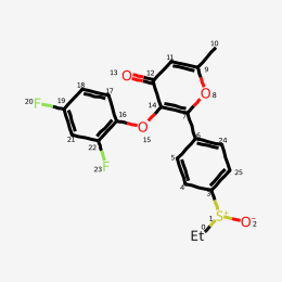 CC[S+]([O-])c1ccc(-c2oc(C)cc(=O)c2Oc2ccc(F)cc2F)cc1